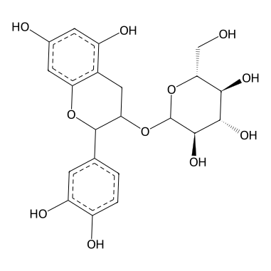 OC[C@H]1OC(OC2Cc3c(O)cc(O)cc3OC2c2ccc(O)c(O)c2)[C@H](O)[C@@H](O)[C@@H]1O